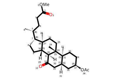 COC(=O)CC[C@@H](C)[C@H]1CC[C@H]2[C@@H]3C(=O)C[C@@H]4C[C@H](OC(C)=O)CC[C@]4(C)[C@@]3(C)CC[C@]12C